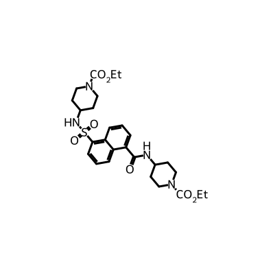 CCOC(=O)N1CCC(NC(=O)c2cccc3c(S(=O)(=O)NC4CCN(C(=O)OCC)CC4)cccc23)CC1